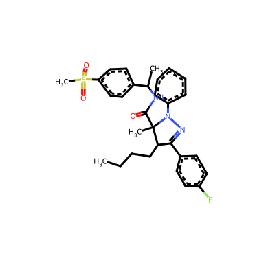 CCCCC1C(c2ccc(F)cc2)=NN(c2ccccc2)C1(C)C(=O)NC(C)c1ccc(S(C)(=O)=O)cc1